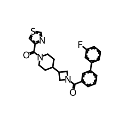 O=C(c1cccc(-c2cccc(F)c2)c1)N1CC(C2CCN(C(=O)c3cscn3)CC2)C1